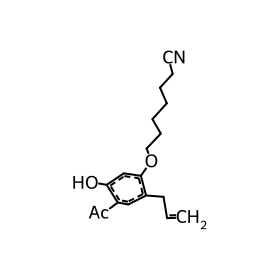 C=CCc1cc(C(C)=O)c(O)cc1OCCCCCCC#N